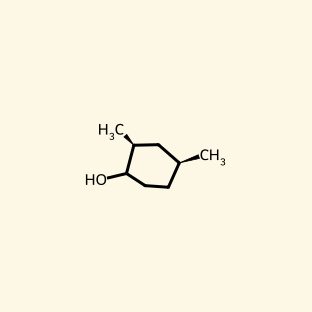 C[C@H]1CCC(O)[C@@H](C)C1